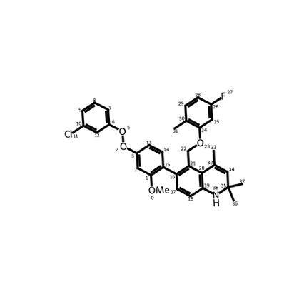 COc1cc(OOc2cccc(Cl)c2)ccc1-c1ccc2c(c1COc1cc(F)ccc1C)C(C)=CC(C)(C)N2